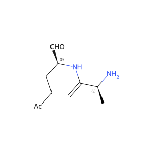 C=C(N[C@H](C=O)CCC(C)=O)[C@H](C)N